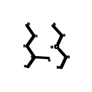 CCCC(C)C.CCOCC